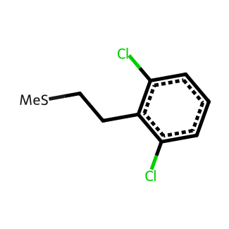 CSCCc1c(Cl)cccc1Cl